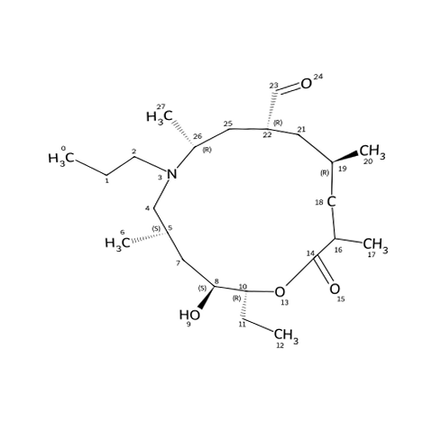 CCCN1C[C@@H](C)C[C@H](O)[C@@H](CC)OC(=O)C(C)C[C@H](C)C[C@@H](C=O)C[C@H]1C